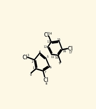 Cc1c(Cl)cccc1Cl.Cc1ccc(Cl)cc1Cl